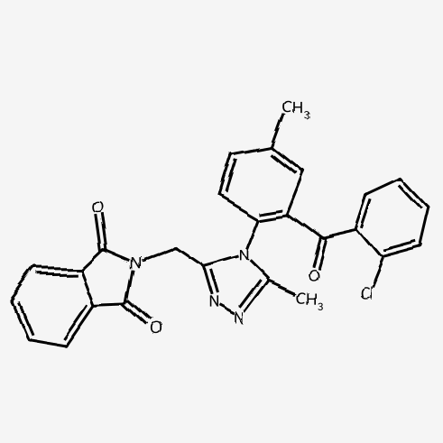 Cc1ccc(-n2c(C)nnc2CN2C(=O)c3ccccc3C2=O)c(C(=O)c2ccccc2Cl)c1